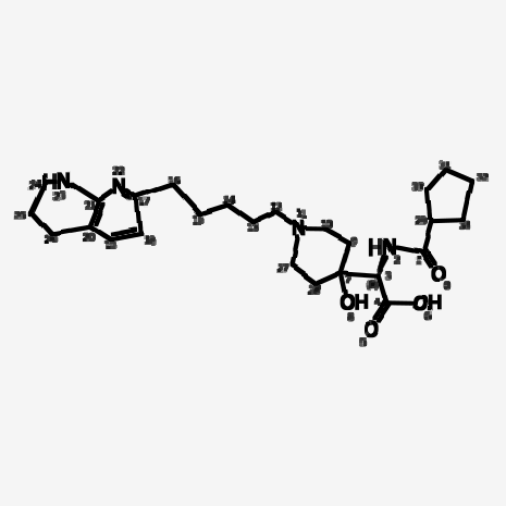 O=C(N[C@@H](C(=O)O)C1(O)CCN(CCCCCc2ccc3c(n2)NCCC3)CC1)C1CCCC1